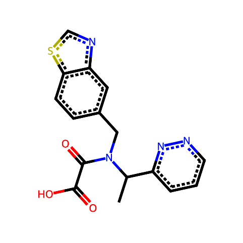 CC(c1cccnn1)N(Cc1ccc2scnc2c1)C(=O)C(=O)O